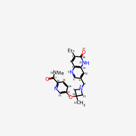 CCc1cc2ncc(CN3CC(C)(Oc4ccc(C(=O)NC)nc4)C3)cc2[nH]c1=O